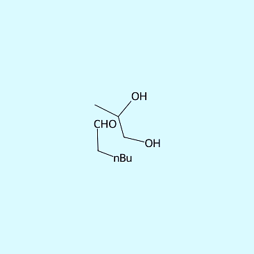 CC(O)CO.CCCCCC=O